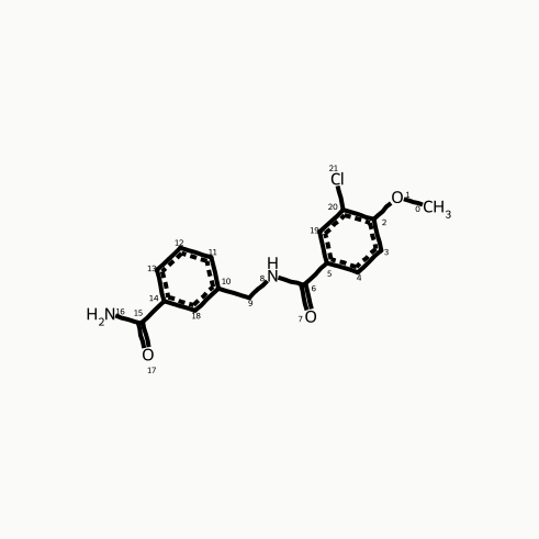 COc1ccc(C(=O)NCc2cccc(C(N)=O)c2)cc1Cl